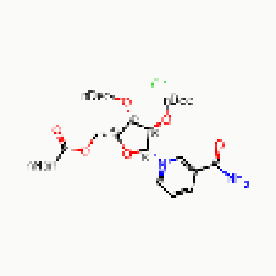 CCCCCCCCCCO[C@@H]1[C@@H](OCCCCCCCCCC)[C@@H](COC(=O)CCCCCCCCC)O[C@H]1[n+]1cccc(C(N)=O)c1.[Cl-]